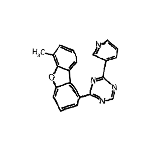 Cc1cccc2c1oc1cccc(-c3ncnc(-c4cccnc4)n3)c12